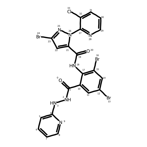 O=C(NNc1ccccn1)c1cc(Br)cc(Br)c1NC(=O)c1cc(Br)nn1-c1ncccc1Cl